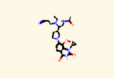 CCN(CCC#N)C(CNC(C)=O)C1CCN(c2ccc3c(=O)[nH]c(=O)n(C4CC4)c3c2OC)C1